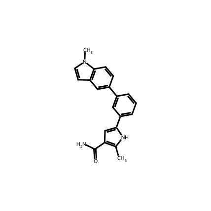 Cc1[nH]c(-c2cccc(-c3ccc4c(ccn4C)c3)c2)cc1C(N)=O